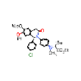 CCOC(=O)C(N(C)c1ccc(N2C(=O)Cc3cc(OC)c(OC(C)C)cc3[C@@H]2c2ccc(Cl)cc2)cc1)C(C)(C)C